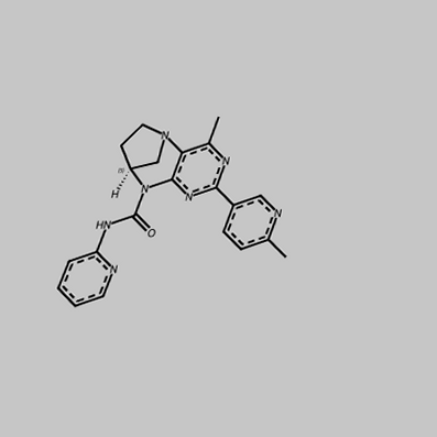 Cc1ccc(-c2nc(C)c3c(n2)N(C(=O)Nc2ccccn2)[C@H]2CCN3C2)cn1